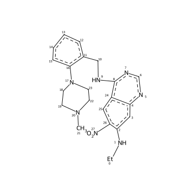 CCNc1cc2ncnc(NCc3ccccc3N3CCN(C)CC3)c2cc1[N+](=O)[O-]